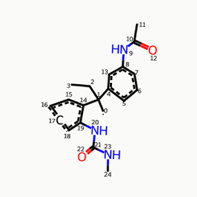 [CH2]C(CC)(c1cccc(NC(C)=O)c1)c1ccccc1NC(=O)NC